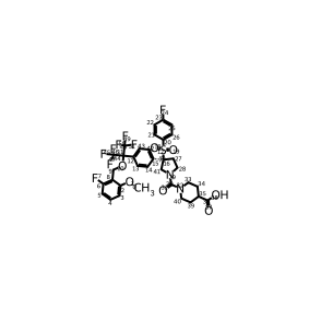 COc1cccc(F)c1COC(c1ccc([C@]2(S(=O)(=O)c3ccc(F)cc3)CCN(C(=O)N3CCC(C(=O)O)CC3)C2)cc1)(C(F)(F)F)C(F)(F)F